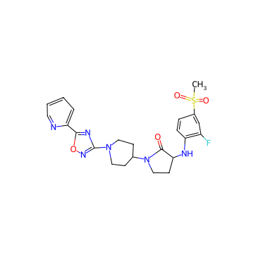 CS(=O)(=O)c1ccc(NC2CCN(C3CCN(c4noc(-c5ccccn5)n4)CC3)C2=O)c(F)c1